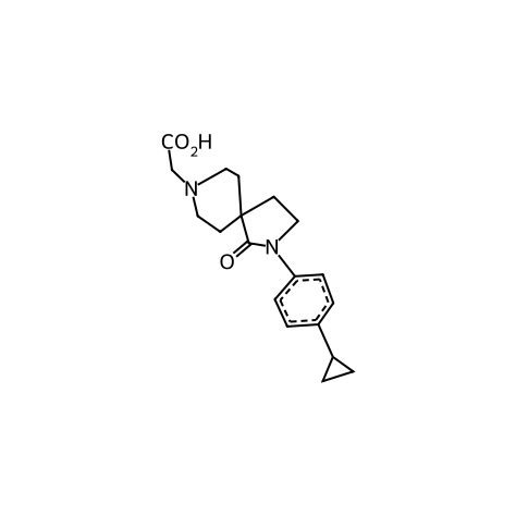 O=C(O)CN1CCC2(CC1)CCN(c1ccc(C3CC3)cc1)C2=O